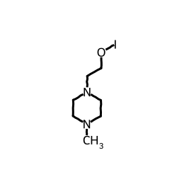 CN1CCN(CCOI)CC1